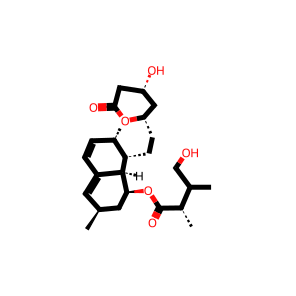 CC(CO)[C@H](C)C(=O)O[C@H]1C[C@@H](C)C=C2C=C[C@H](C)[C@H](CC[C@H]3C[C@@H](O)CC(=O)O3)[C@H]21